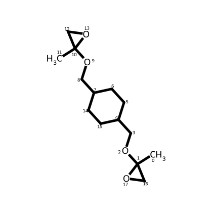 CC1(OCC2CCC(COC3(C)CO3)CC2)CO1